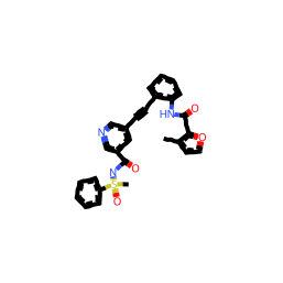 Cc1ccoc1C(=O)Nc1ccccc1C#Cc1cncc(C(=O)N=S(C)(=O)c2ccccc2)c1